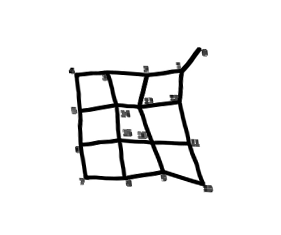 CC1C2C3CC4C5CC6C7CC8C1C21C43C56C781